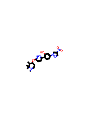 CC1C(Oc2ccc(-c3ccc(-n4cc([N+](=O)[O-])cn4)cc3O)nn2)CCN(C)C1(C)C